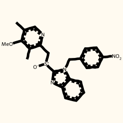 COc1c(C)cnc(C[S+]([O-])c2nc3ccccc3n2Cc2ccc([N+](=O)[O-])cc2)c1C